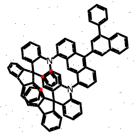 c1ccc(-c2cc(-c3c4cccc(N5c6ccccc6C6(c7ccccc7-c7ccccc76)c6ccccc65)c4cc4c(N5c6ccccc6C6(c7ccccc7-c7ccccc76)c6ccccc65)cccc34)cc3ccccc23)cc1